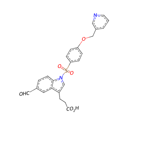 O=Cc1ccc2c(c1)c(CCC(=O)O)cn2S(=O)(=O)c1ccc(OCc2cccnc2)cc1